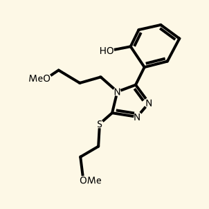 COCCCn1c(SCCOC)nnc1-c1ccccc1O